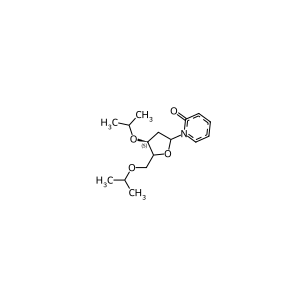 CC(C)OCC1OC(n2ccccc2=O)C[C@@H]1OC(C)C